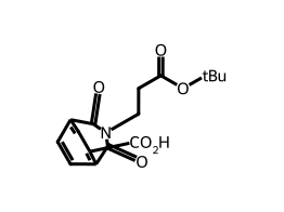 CC(C)(C)OC(=O)CCn1c(=O)c2ccc(c(C(=O)O)c2)c1=O